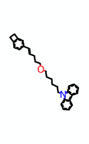 C(=C\c1ccc2c(c1)CC2)/CCCOCCCCCCn1c2ccccc2c2ccccc21